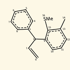 C=C[C](c1ccccc1)c1cccc(C)c1SC